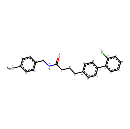 COc1ccc(CNC(=O)CCCc2ccc(-c3ccccc3F)cc2)cc1